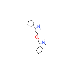 CN(C)C(CCOCCC(C1CCCCC1)N(C)C)C1CCCCC1